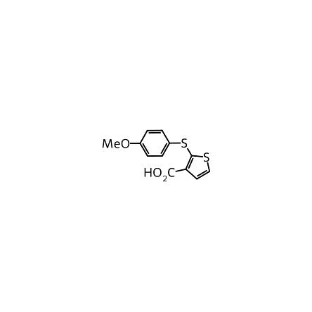 COc1ccc(Sc2sccc2C(=O)O)cc1